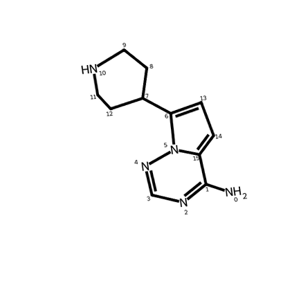 Nc1ncnn2c(C3CCNCC3)ccc12